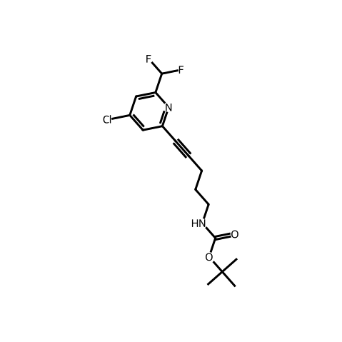 CC(C)(C)OC(=O)NCCCC#Cc1cc(Cl)cc(C(F)F)n1